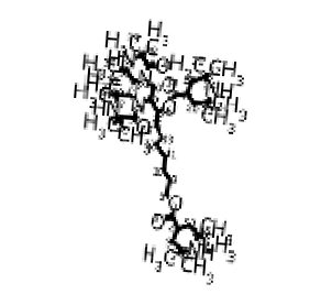 CC1(C)CC(C(=O)OCCCCCCCC(OC(=O)C2CC(C)(C)NC(C)(C)C2)C(CN2CC(C)(C)NC(C)(C)C2=O)N2CC(C)(C)NC(C)(C)C2=O)CC(C)(C)N1